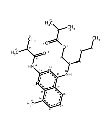 CCCC[C@H](COC(=O)C(C)C)Nc1nc(NC(=O)C(C)C)nc2c(C)cccc12